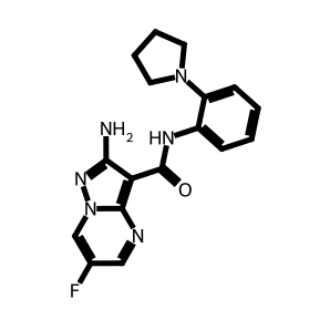 Nc1nn2cc(F)cnc2c1C(=O)Nc1ccccc1N1CCCC1